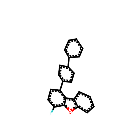 Fc1ccc(-c2ccc(-c3ccccc3)cc2)c2c1oc1ccccc12